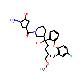 COCCCCC(O)(c1ccccc1Oc1ccc(F)cc1C)C1CCCN(C(=O)C2CC(N)C(O)C2)C1